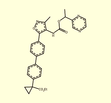 CCOC(=O)C1(c2ccc(-c3ccc(-c4onc(C)c4NC(=O)OC(C)c4cnccn4)cc3)cc2)CC1